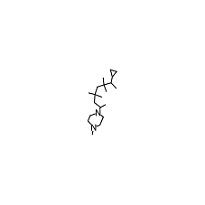 CC(CC(C)(C)CC(C)(C)C(C)C1CC1)N1CCN(C)CC1